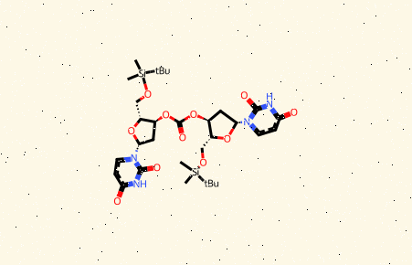 CC(C)(C)[Si](C)(C)OC[C@H]1O[C@@H](n2ccc(=O)[nH]c2=O)C[C@@H]1OC(=O)O[C@H]1C[C@H](n2ccc(=O)[nH]c2=O)O[C@@H]1CO[Si](C)(C)C(C)(C)C